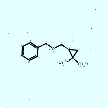 CCOC(=O)[C@]1(C(=O)O)C[C@@H]1COCc1ccccc1